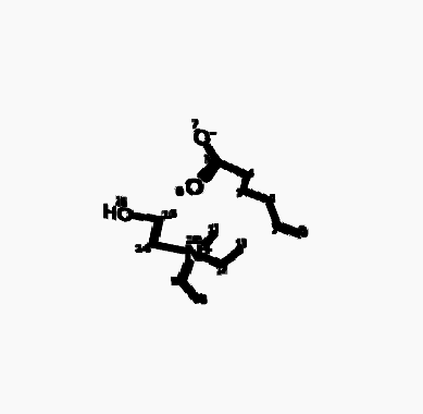 CCCCCC(=O)[O-].CC[N+](C)(CC)CCO